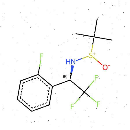 CC(C)(C)[S+]([O-])N[C@H](c1ccccc1F)C(F)(F)F